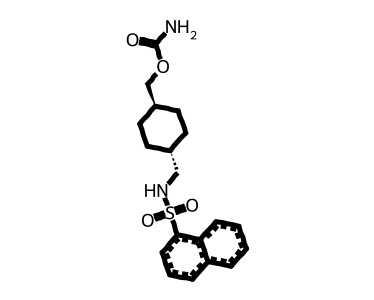 NC(=O)OC[C@H]1CC[C@H](CNS(=O)(=O)c2cccc3ccccc23)CC1